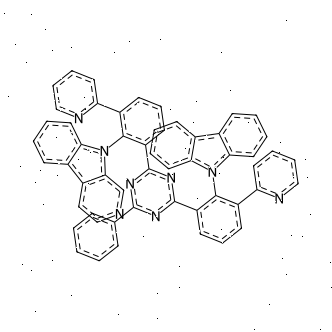 c1ccc(-c2nc(-c3cccc(-c4ccccn4)c3-n3c4ccccc4c4ccccc43)nc(-c3cccc(-c4ccccn4)c3-n3c4ccccc4c4ccncc43)n2)cc1